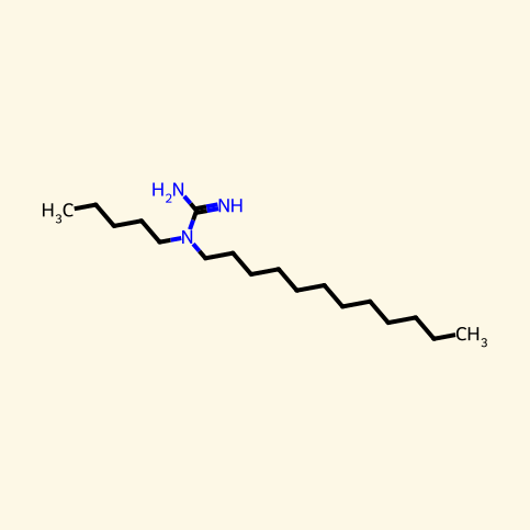 CCCCCCCCCCCCN(CCCCC)C(=N)N